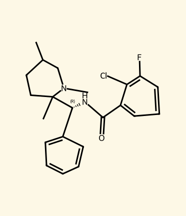 CC1CCC(C)([C@H](NC(=O)c2cccc(F)c2Cl)c2ccccc2)N(C)C1